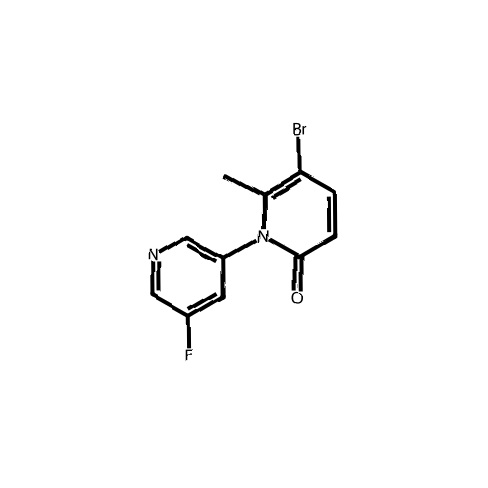 Cc1c(Br)ccc(=O)n1-c1cncc(F)c1